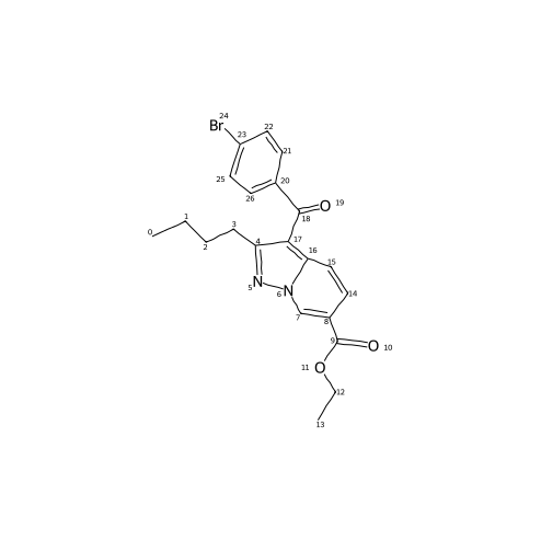 CCCCc1nn2cc(C(=O)OCC)ccc2c1C(=O)c1ccc(Br)cc1